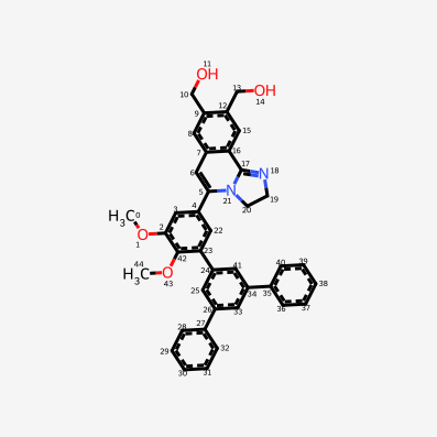 COc1cc(C2=Cc3cc(CO)c(CO)cc3C3=NCCN23)cc(-c2cc(-c3ccccc3)cc(-c3ccccc3)c2)c1OC